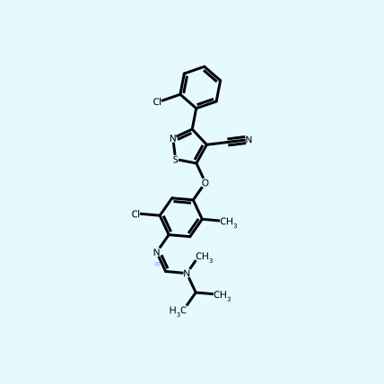 Cc1cc(/N=C\N(C)C(C)C)c(Cl)cc1Oc1snc(-c2ccccc2Cl)c1C#N